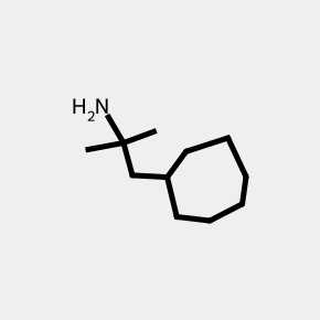 CC(C)(N)CC1CCCCCC1